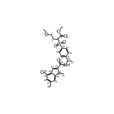 COCCC(C(=O)OC)S(=O)(=O)c1ccc(C(C)NC(=O)c2cc3c(Cl)cc(C)cc3n2C)cc1